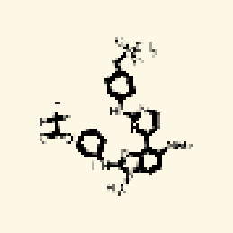 CNc1ccc2c(nc(Nc3ccccc3)n2C)c1-c1ccnc(Nc2ccc(CS(C)(=O)=O)cc2)n1.O=C(O)C(F)(F)F